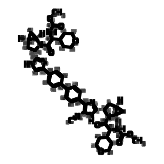 [C-]#[N+]c1[nH]c([C@@H]2C[C@H]3C[C@H]3N2C(=O)[C@@H](NC(=O)OC)C2CCOCC2)nc1-c1ccc(-c2ccc(-c3c[nH]c([C@@H]4C[C@H]5C[C@H]5N4C(=O)[C@@H](NC(=O)OC)C4CCOCC4)n3)cc2)cc1